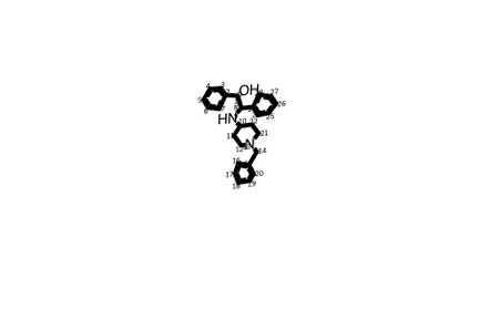 OC(c1ccccc1)C(NC1CCN(Cc2ccccc2)CC1)c1ccccc1